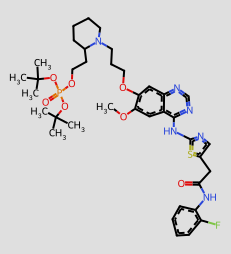 COc1cc2c(Nc3ncc(CC(=O)Nc4ccccc4F)s3)ncnc2cc1OCCCN1CCCCC1CCOP(=O)(OC(C)(C)C)OC(C)(C)C